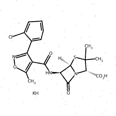 Cc1onc(-c2ccccc2Cl)c1C(=O)N[C@@H]1C(=O)N2[C@@H]1SC(C)(C)[C@@H]2C(=O)O.[KH]